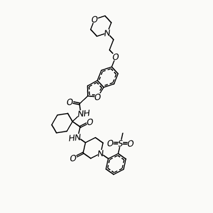 CS(=O)(=O)c1ccccc1N1CCC(NC(=O)C2(NC(=O)c3cc4cc(OCCN5CCOCC5)ccc4o3)CCCCC2)C(=O)C1